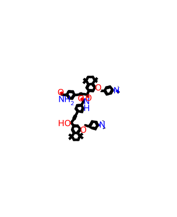 CN(C)c1ccc(COc2cc(C(O)C#Cc3ccc(C(=O)NOC(C#Cc4ccc(C(N)=O)cc4)c4cc(OCc5ccc(N(C)C)cc5)c5c(c4)C(C)(C)CCC5(C)C)cc3)cc3c2C(C)(C)CCC3(C)C)cc1